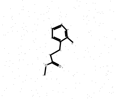 COC(=O)CCc1ccccc1C